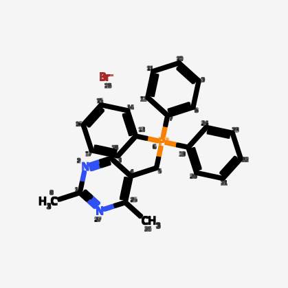 Cc1ncc(C[P+](c2ccccc2)(c2ccccc2)c2ccccc2)c(C)n1.[Br-]